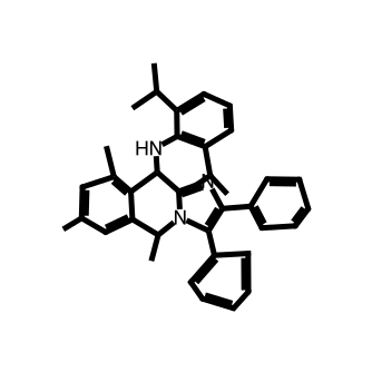 Cc1cc(C)c2c(c1)C(C)n1c(nc(-c3ccccc3)c1-c1ccccc1)C2Nc1c(C(C)C)cccc1C(C)C